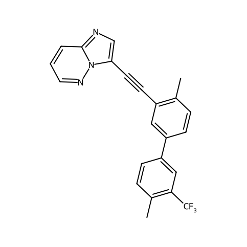 Cc1ccc(-c2ccc(C)c(C(F)(F)F)c2)cc1C#Cc1cnc2cccnn12